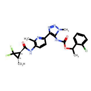 Cc1nc(-c2nnn(C)c2NC(=O)OC(C)c2ccccc2Cl)ccc1NC(=O)[C@H]1[C@H](C(=O)O)C1(F)F